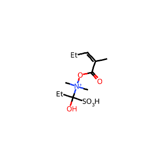 CCC=C(C)C(=O)O[N+](C)(C)C(O)(CC)S(=O)(=O)O